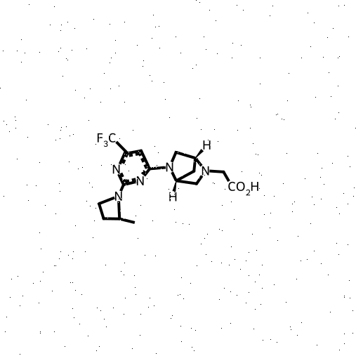 CC1CCN1c1nc(N2C[C@H]3C[C@@H]2CN3CC(=O)O)cc(C(F)(F)F)n1